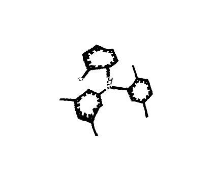 Cc1cc(C)cc([SiH](c2cc(C)ccc2C)c2ccccc2Cl)c1